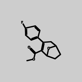 COC(=O)C1=C(c2ccc(F)cc2)CC2CCC1O2